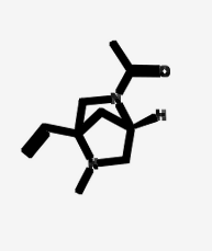 C=CC12C[C@@H](CN1C)N(C(C)=O)C2